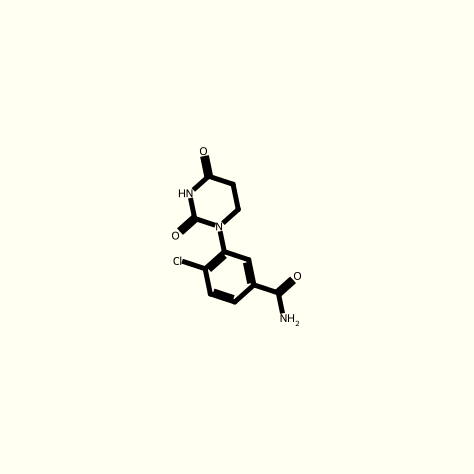 NC(=O)c1ccc(Cl)c(N2CCC(=O)NC2=O)c1